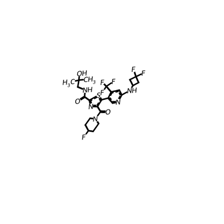 CC(C)(O)CNC(=O)c1nc(C(=O)N2CCC(F)CC2)c(-c2cnc(NC3CC(F)(F)C3)cc2C(F)(F)F)s1